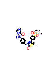 CCC1SC(=O)N(Cc2ccc(NC(=O)c3cnccn3)cc2)N=C1c1ccc(S(C)(=O)=O)cc1